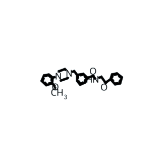 COc1ccccc1N1CCN(Cc2cccc(C(=O)NCC(=O)c3ccccc3)c2)CC1